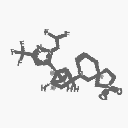 O=S1(=O)CC[C@@]2(CCCN([C@@H]3C[C@@H]4[C@@H]5C3[C@@]45c3cc(C(F)(F)F)nn3CC(F)F)C2)C1